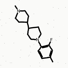 Cc1ccc(N2CCC(C3CCN(C)CC3)CC2)c(F)c1